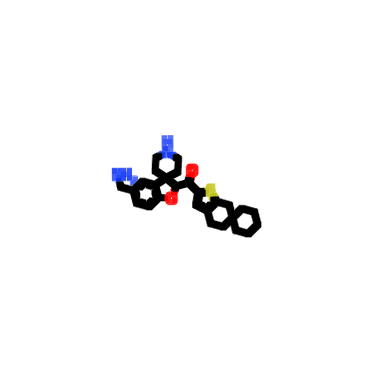 NCc1ccc2c(c1)C1(CCNCC1)C(C(=O)c1cc3c(s1)CC1(CCCCC1)CC3)O2